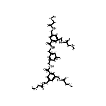 CSCC(=O)NCc1cc(CNC(=O)CSC)cc(C(=O)NCc2cc(C)cc(CNC(=O)c3cc(CNC(=O)CSC)cc(CNC(=O)CSC)c3)c2)c1